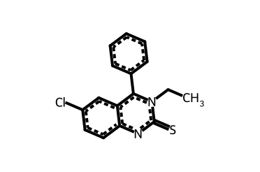 CCn1c(-c2ccccc2)c2cc(Cl)ccc2nc1=S